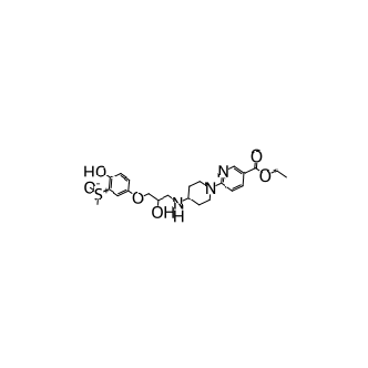 CCOC(=O)c1ccc(N2CCC(NCC(O)COc3ccc(O)c([S+](C)[O-])c3)CC2)nc1